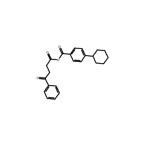 O=C(CCC(=O)c1ccccc1)OC(=O)c1ccc(C2CCCCC2)cc1